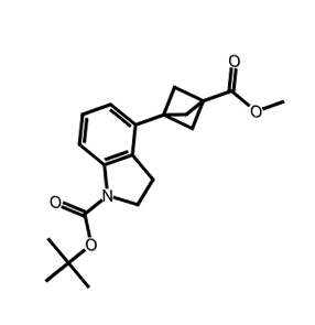 COC(=O)C12CC(c3cccc4c3CCN4C(=O)OC(C)(C)C)(C1)C2